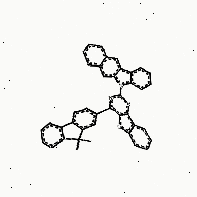 CC1(C)c2ccccc2-c2ccc(-c3nc(-n4c5ccccc5c5cc6ccccc6cc54)nc4c3oc3ccccc34)cc21